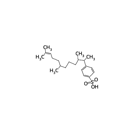 CC(C)=CCCC(C)CCCC(C)C(C)c1ccc(S(=O)(=O)O)cc1